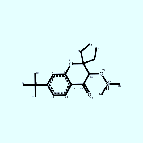 CCC1(CC)Oc2cc(C(C)(C)C)ccc2C(=O)C1O[SiH](C)C